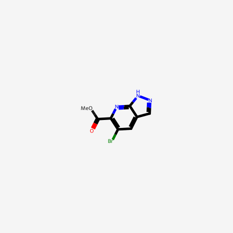 COC(=O)c1nc2[nH]ncc2cc1Br